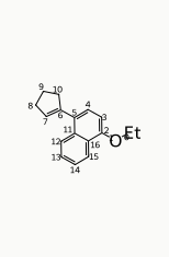 CCOc1ccc(C2=CCCC2)c2ccccc12